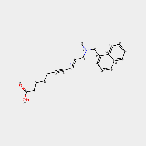 CN(C/C=C/C#CCCCCC(=O)O)Cc1cccc2ccccc12